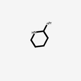 C[CH]CC1CCCCN1